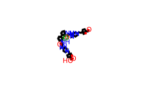 Cn1c(C(=O)Nc2cccc(-c3cccc(NC(=O)c4nc5c(n4C)CCN(CC46CCC(C(=O)O)(CC4)C6)C5)c3Cl)c2Cl)nc2c1CCN(CCC13CCC(C=O)(CC1)C3)C2